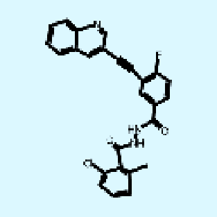 Cc1cccc(Cl)c1C(=O)NNC(=O)c1ccc(F)c(C#Cc2cnc3ccccc3c2)c1